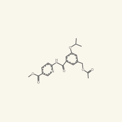 COC(=O)c1ccc(NC(=O)c2cc(COC(C)=O)cc(OC(C)C)c2)nc1